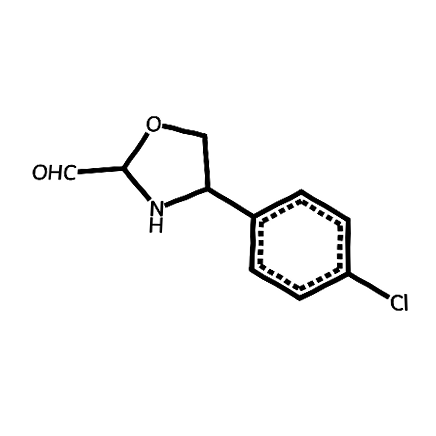 O=CC1NC(c2ccc(Cl)cc2)CO1